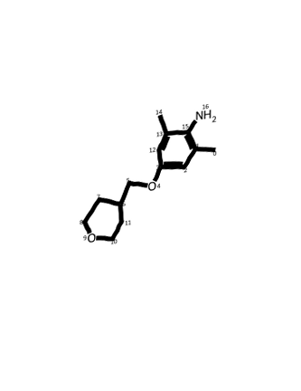 Cc1cc(OCC2CCOCC2)cc(C)c1N